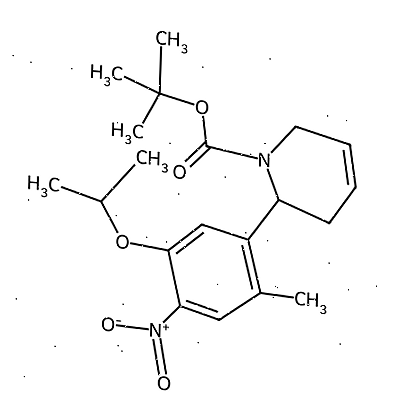 Cc1cc([N+](=O)[O-])c(OC(C)C)cc1C1CC=CCN1C(=O)OC(C)(C)C